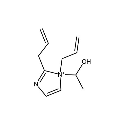 C=CCC1=NC=C[N+]1(CC=C)C(C)O